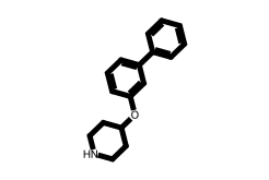 c1ccc(-c2cccc(OC3CCNCC3)c2)cc1